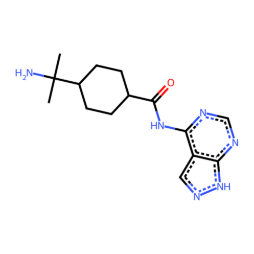 CC(C)(N)C1CCC(C(=O)Nc2ncnc3[nH]ncc23)CC1